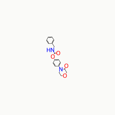 O=C(NCc1ccccc1)Oc1ccc(N2CCOCC2=O)cc1